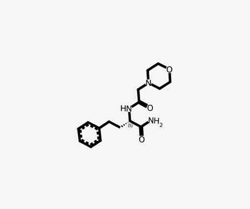 NC(=O)[C@H](CCc1ccccc1)NC(=O)CN1CCOCC1